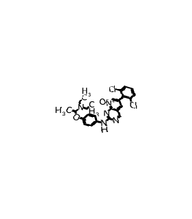 CCN(CC)C(C)Oc1ccc(Nc2ncc3cc(-c4c(Cl)cccc4Cl)c[n+]([O-])c3n2)cc1